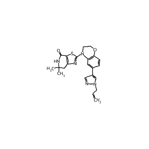 C=CCn1cc(-c2ccc3c(c2)N(c2nc4c(s2)C(=O)NC(C)(C)C4)CCO3)cn1